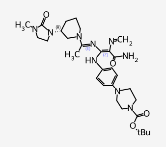 C=N/C(C(N)=O)=C(\N=C(/C)N1CCC[C@@H](N2CCN(C)C2=O)C1)Nc1ccc(N2CCN(C(=O)OC(C)(C)C)CC2)cc1